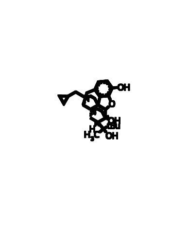 CC(C)(C)C(C)(O)[C@H]1C[C@@]23CC[C@]1(O)C1Oc4c(O)ccc5c4C12CCN(CC1CC1)C3C5